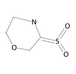 O=S(=O)=C1COCC[N]1